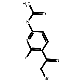 CC(=O)Nc1ccc(C(=O)CBr)c(F)n1